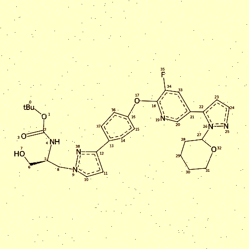 CC(C)(C)OC(=O)N[C@H](CO)Cn1ccc(-c2ccc(Oc3ncc(-c4ccnn4C4CCCCO4)cc3F)cc2)n1